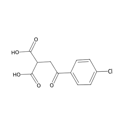 O=C(CC(C(=O)O)C(=O)O)c1ccc(Cl)cc1